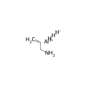 C=CCN.[Al+3].[H-].[H-].[H-]